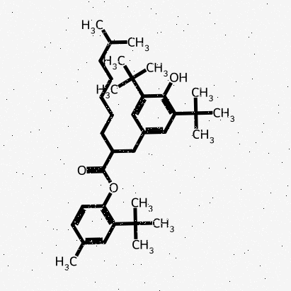 Cc1ccc(OC(=O)C(CCCCCC(C)C)Cc2cc(C(C)(C)C)c(O)c(C(C)(C)C)c2)c(C(C)(C)C)c1